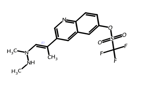 CNN(C)/C=C(\C)c1cnc2ccc(OS(=O)(=O)C(F)(F)F)cc2c1